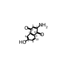 NC1=CC(=O)c2cc(O)ccc2C1=O